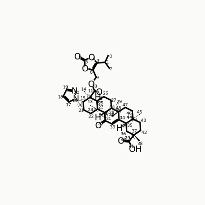 CC(C)c1oc(=O)oc1COC(=O)[C@]1(C)[C@@H](n2cccn2)CC[C@@]2(C)[C@H]1CC[C@]1(C)[C@@H]2C(=O)C=C2[C@@H]3C[C@@](C)(C(=O)O)CC[C@]3(C)CC[C@]21C